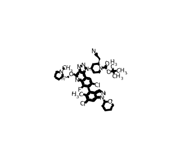 Cc1c(Cl)cc2c(cnn2C2CCCCO2)c1-c1c(Cl)cc2c(nc(OC[C@@H]3CCCN3C)c3nnn([C@H]4CCN(C(=O)OC(C)(C)C)[C@H](CC#N)C4)c32)c1F